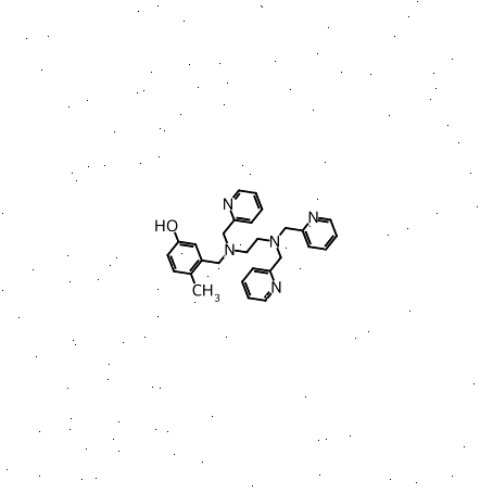 Cc1ccc(O)cc1CN(CCN(Cc1ccccn1)Cc1ccccn1)Cc1ccccn1